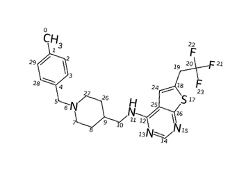 Cc1ccc(CN2CCC(CNc3ncnc4sc(CC(F)(F)F)cc34)CC2)cc1